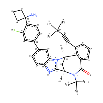 [2H]C([2H])([2H])N1C(=O)c2cccc(C#C[Si](C(C)C)(C(C)C)C(C)C)c2[C@H]2C[C@@H]1c1nc3ccc(-c4ccc(C5(N)CCC5)c(F)c4)cc3n12